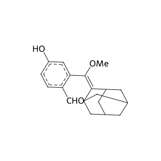 COC(=C1C2CC3CC(C2)CC1C3)c1cc(O)ccc1C=O